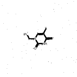 C=C1NC(=O)N(CC(C)C)C=C1C